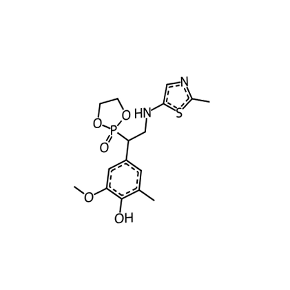 COc1cc(C(CNc2cnc(C)s2)P2(=O)OCCO2)cc(C)c1O